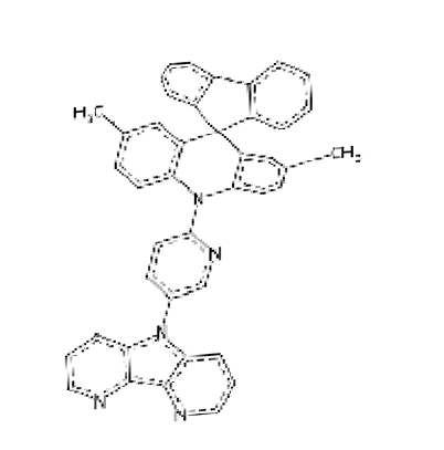 Cc1ccc2c(c1)C1(c3ccccc3-c3ccccc31)c1cc(C)ccc1N2c1ccc(-n2c3cccnc3c3ncccc32)cn1